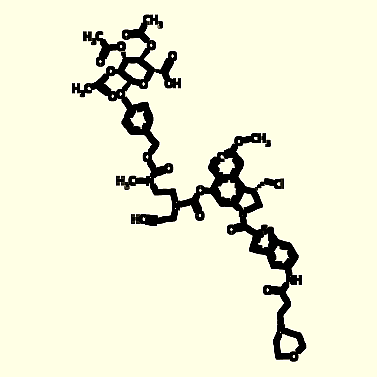 C#CCN(CCN(C)C(=O)OCc1ccc(O[C@@H]2O[C@@H](C(=O)O)[C@H](OC(C)=O)[C@@H](OC(C)=O)[C@@H]2OC(C)=O)cc1)C(=O)Oc1cc2c(c3cc(OC)ccc13)[C@H](CCl)CN2C(=O)c1cc2cc(NC(=O)CCN3CCOCC3)ccc2[se]1